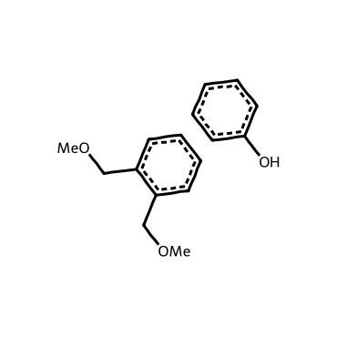 COCc1ccccc1COC.Oc1ccccc1